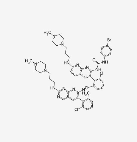 CN1CCN(CCCNc2ncc3cc(-c4c(Cl)cccc4Cl)c(N)nc3n2)CC1.CN1CCN(CCCNc2ncc3cc(-c4c(Cl)cccc4Cl)c(NC(=O)Nc4ccc(Br)cc4)nc3n2)CC1